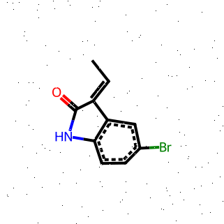 CC=C1C(=O)Nc2ccc(Br)cc21